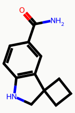 NC(=O)c1ccc2c(c1)C1(CCC1)CN2